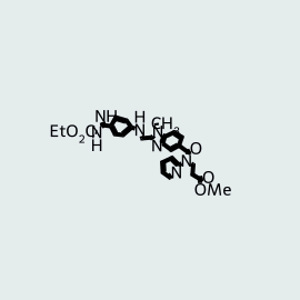 CCOC(=O)NC(=N)c1ccc(NCc2nc3cc(C(=O)N(CCC(=O)OC)c4ccccn4)ccc3n2C)cc1